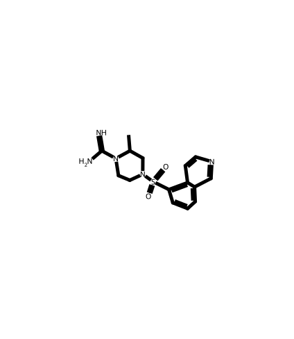 CC1CN(S(=O)(=O)c2cccc3cnccc23)CCN1C(=N)N